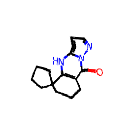 O=c1c2c([nH]c3ccnn13)C1(CCCC1)CCC2